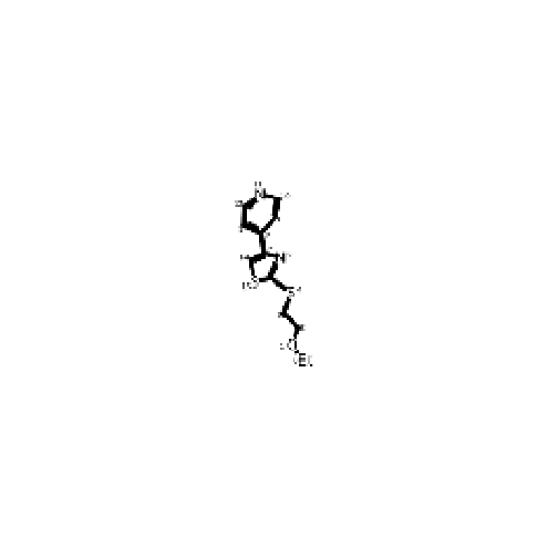 CCOCCSc1nc(-c2ccncc2)cs1